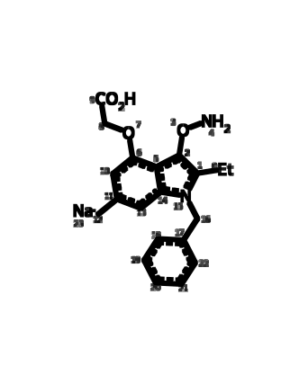 CCc1c(ON)c2c(OCC(=O)O)cc(C)cc2n1Cc1ccccc1.[Na]